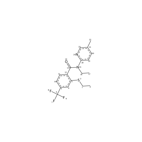 CCSc1cc(C(F)(F)F)ccc1C(=O)N(CC)c1ccc(C)cn1